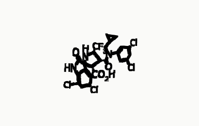 O=C(O)[C@H]1[C@@H](C(=O)N(CC2CC2)c2cc(Cl)cc(Cl)c2)[C@@H](C(F)(F)F)NC12C(=O)Nc1c(Cl)cc(Cl)cc12